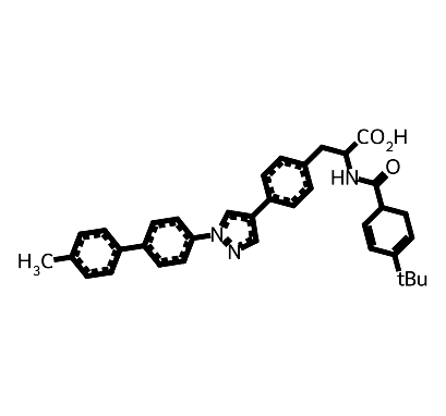 Cc1ccc(-c2ccc(-n3cc(-c4ccc(CC(NC(=O)C5C=CC(C(C)(C)C)=CC5)C(=O)O)cc4)cn3)cc2)cc1